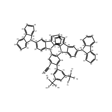 N#Cc1cc(-n2c3ccccc3c3cc(-n4c5ccccc5c5ccccc54)ccc32)c(-n2c3ccccc3c3cc(-n4c5ccccc5c5ccccc54)ccc32)cc1-c1cc(C(F)(F)F)cc(C(F)(F)F)c1